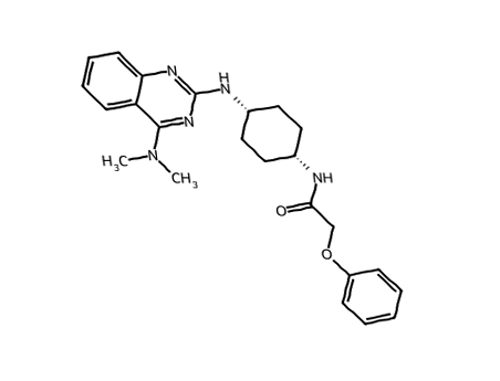 CN(C)c1nc(N[C@H]2CC[C@@H](NC(=O)COc3ccccc3)CC2)nc2ccccc12